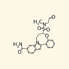 CN(CC=O)S(=O)(=O)C1CCn2c(cc3ccc(C(N)=O)cc32)-c2ccccc2O1